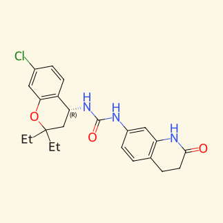 CCC1(CC)C[C@@H](NC(=O)Nc2ccc3c(c2)NC(=O)CC3)c2ccc(Cl)cc2O1